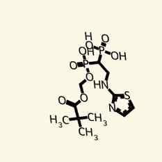 CC(C)(C)C(=O)OCOP(=O)(O)C(CNc1nccs1)P(=O)(O)O